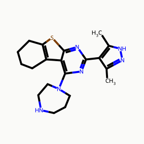 Cc1n[nH]c(C)c1-c1nc(N2CCCNCC2)c2c3c(sc2n1)CCCC3